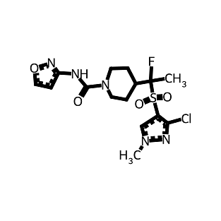 Cn1cc(S(=O)(=O)C(C)(F)C2CCN(C(=O)Nc3ccon3)CC2)c(Cl)n1